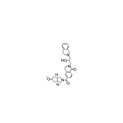 CO[C@@H]1C[C@@H]2CN(C(=O)c3ccc4c(c3)CCN(CC(O)CN3CCc5ccccc5C3)C4=O)C[C@@H]2C1